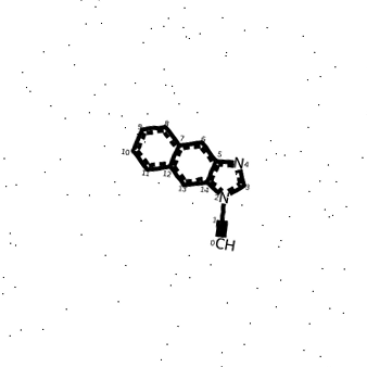 C#Cn1cnc2cc3ccccc3cc21